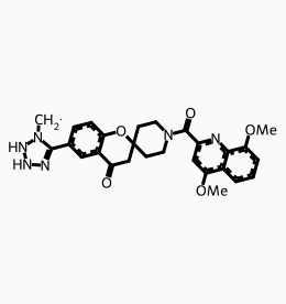 [CH2]N1NNN=C1c1ccc2c(c1)C(=O)CC1(CCN(C(=O)c3cc(OC)c4cccc(OC)c4n3)CC1)O2